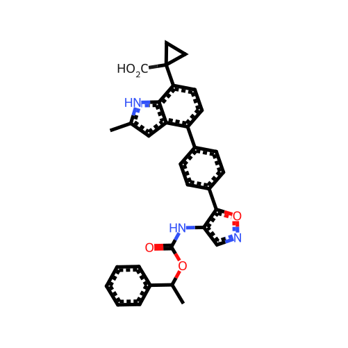 Cc1cc2c(-c3ccc(-c4oncc4NC(=O)OC(C)c4ccccc4)cc3)ccc(C3(C(=O)O)CC3)c2[nH]1